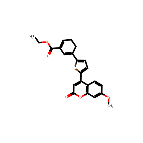 CCOC(=O)C1=CCCC(c2ccc(-c3cc(=O)oc4cc(OC)ccc34)s2)=C1